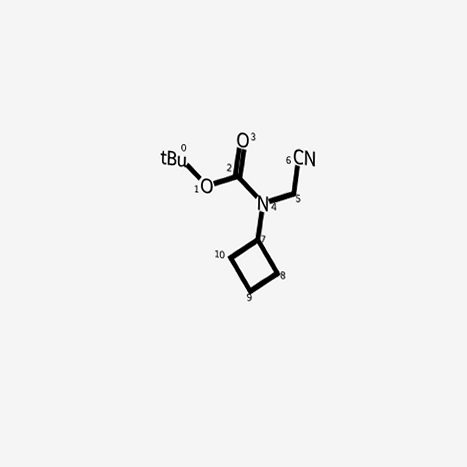 CC(C)(C)OC(=O)N(CC#N)C1CCC1